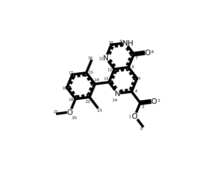 COC(=O)c1cc2c(=O)[nH]cnc2c(-c2c(C)ccc(OC)c2C)n1